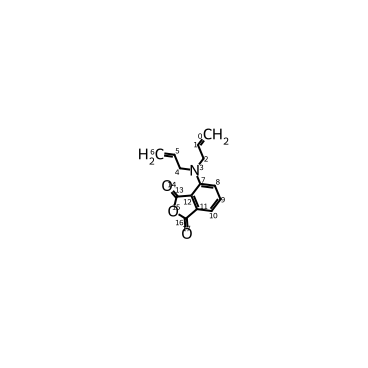 C=CCN(CC=C)c1cccc2c1C(=O)OC2=O